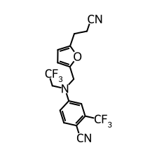 N#CCCc1ccc(CN(CC(F)(F)F)c2ccc(C#N)c(C(F)(F)F)c2)o1